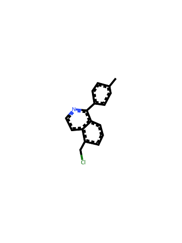 Cc1ccc(-c2nccc3c(CCl)cccc23)cc1